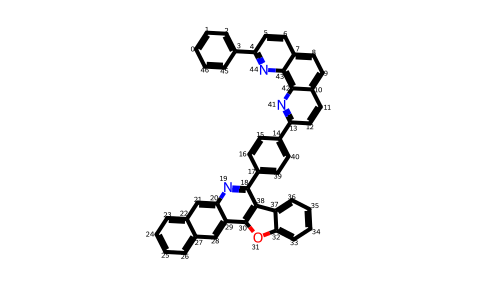 c1ccc(-c2ccc3ccc4ccc(-c5ccc(-c6nc7cc8ccccc8cc7c7oc8ccccc8c67)cc5)nc4c3n2)cc1